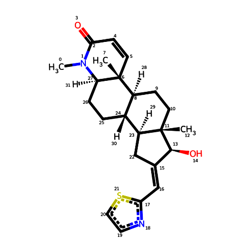 CN1C(=O)C=C[C@]2(C)[C@H]3CC[C@]4(C)[C@@H](O)C(=Cc5nccs5)C[C@H]4[C@@H]3CC[C@@H]12